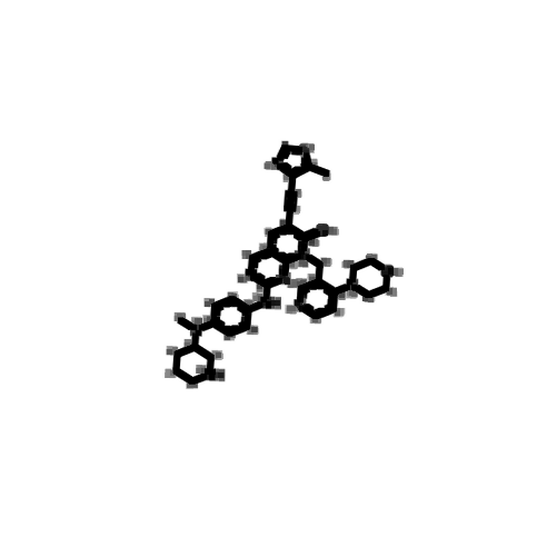 Cc1scnc1C#Cc1cc2cnc(Nc3ccc(N(C)C4CCCNC4)cc3)nc2n(Cc2cnccc2N2CCOCC2)c1=O